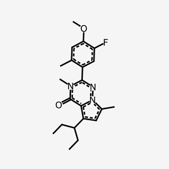 CCC(CC)c1cc(C)n2nc(-c3cc(F)c(OC)cc3C)n(C)c(=O)c12